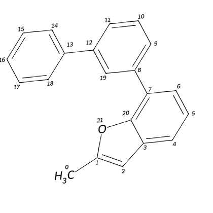 Cc1cc2cccc(-c3cccc(-c4ccccc4)c3)c2o1